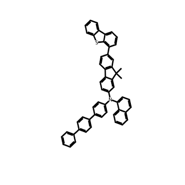 CC1(C)c2cc(-c3cccc4c3sc3ccccc34)ccc2-c2ccc(N(c3ccc(-c4ccc(-c5ccccc5)cc4)cc3)c3cccc4ccccc34)cc21